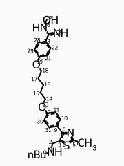 CCCCNCc1sc(C)nc1-c1ccc(OCCCCCOc2ccc(C(=N)NO)cc2)cc1